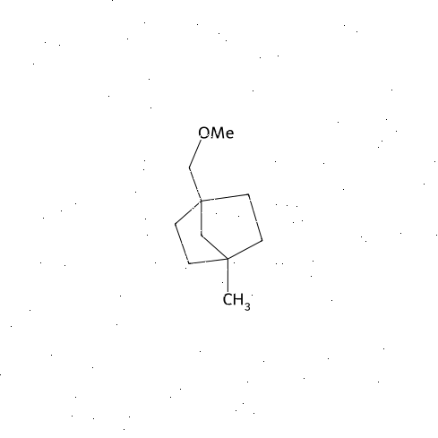 COCC12CCC(C)(CC1)C2